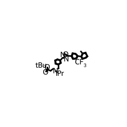 Cc1ccccc1-c1ccc(-c2nc(-c3cccc(CN(CCC(=O)OC(C)(C)C)C(C)C)c3)no2)cc1C(F)(F)F